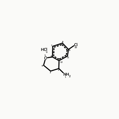 Cl.NC1CCOc2ccc(Cl)cc21